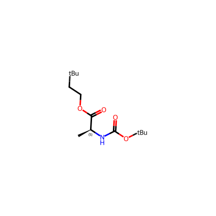 C[C@H](NC(=O)OC(C)(C)C)C(=O)OCCC(C)(C)C